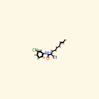 C/C=C/CCCCC(CC)C(=O)Nc1cccc(Cl)c1